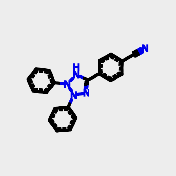 N#Cc1ccc(C2=NN(c3ccccc3)N(c3ccccc3)N2)cc1